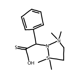 C[Si]1(C)CC[Si](C)(C)N1C(C(O)=S)c1ccccc1